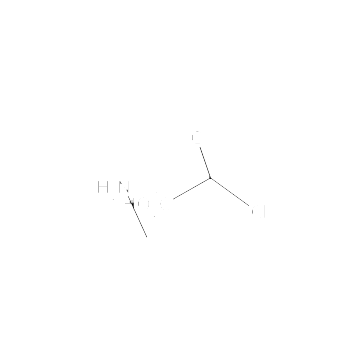 CN.O=C(O)C(Cl)Cl